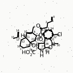 C=CCCC(=O)O[C@H]1C(C)=C[C@H]2[C@@H](C(=C)C)CC[C@@H](C)[C@]2(O)C1[C@H]1[C@@H](C(=O)O)N[C@@H]2ON(C)c3c(Cl)cccc3[C@@]21O